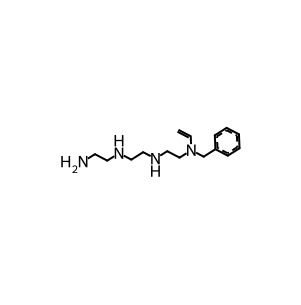 C=CN(CCNCCNCCN)Cc1ccccc1